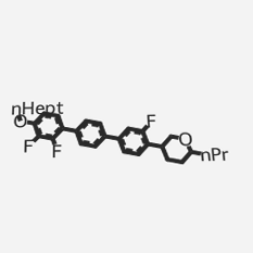 CCCCCCCOc1ccc(-c2ccc(-c3ccc(C4CCC(CCC)OC4)c(F)c3)cc2)c(F)c1F